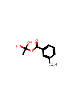 CC(O)(O)OC(=O)c1cccc(C(=O)O)c1